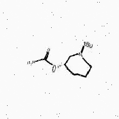 CC(C)(C)N1CCC[C@H](OC(N)=O)C1